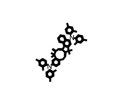 C=C1/C=C2\C(=C/Cc3ccc(N(c4ccc(C)cc4C)c4ccc(C)cc4C)cc3C1(C)C)C(C)(C)c1cc(N(c3ccc(C)cc3C)c3ccc(C)cc3C)c3ccccc3c12